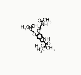 CC(=O)NCCOc1cc2[nH]c(C(=O)C(C)(C)C)cc2cc1OCCN(C)C